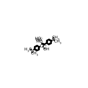 CN(C)c1ccc(-c2c(O)[c+](-c3ccc(N(C)C)cc3)[c+]2O)cc1.[OH-].[OH-]